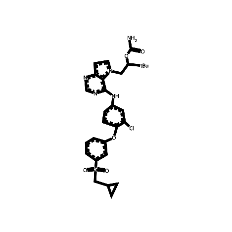 CC(C)(C)C(Cn1ccc2ncnc(Nc3ccc(Oc4cccc(S(=O)(=O)CC5CC5)c4)c(Cl)c3)c21)OC(N)=O